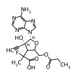 C#C[C@]1(O)C(C(C)(F)C(=O)O)C(COC(=O)CC)O[C@H]1n1cnc2c(N)ncnc21